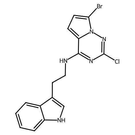 Clc1nc(NCCc2c[nH]c3ccccc23)c2ccc(Br)n2n1